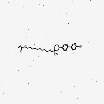 C=CC(=O)OCCCCCCCCCCCC1(C#N)CCCC(c2ccc(-c3ccc(CC)cc3)cc2)C1